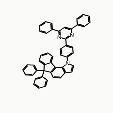 c1ccc(-c2cc(-c3ccccc3)nc(-c3ccc(-n4ccc5ccc6c(c54)-c4ccccc4C6(c4ccccc4)c4ccccc4)cc3)n2)cc1